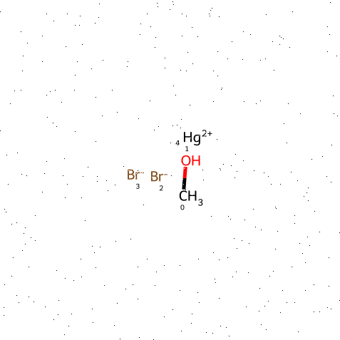 CO.[Br-].[Br-].[Hg+2]